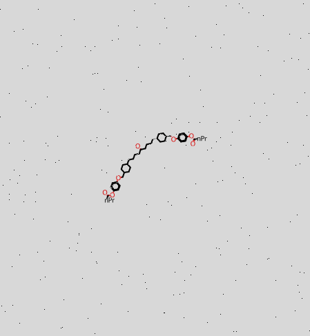 CCCC(=O)Oc1ccc(OCC2CCC(CCCCC(=O)CCCC[C@H]3CC[C@H](COc4ccc(OC(=O)CCC)cc4)CC3)CC2)cc1